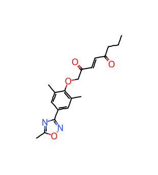 CCCC(=O)C=CC(=O)COc1c(C)cc(-c2noc(C)n2)cc1C